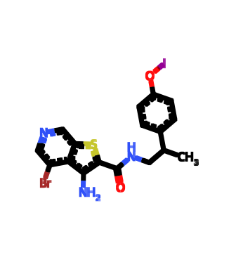 CC(CNC(=O)c1sc2cncc(Br)c2c1N)c1ccc(OI)cc1